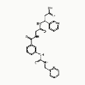 O=C(O)CC(NC(=O)CNC(=O)c1cccc(NC(=O)NCc2ccccn2)c1)c1cccnc1